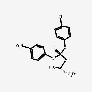 CCOC(=O)[C@H](C)NP(=O)(Oc1ccc(Cl)cc1)Oc1ccc([N+](=O)[O-])cc1